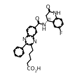 O=C(O)CCCCc1nc2cc(C(=O)N[C@@H]3CC(=O)Nc4ccc(F)cc43)ccc2nc1-c1ccccc1